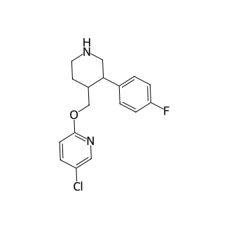 Fc1ccc(C2CNCCC2COc2ccc(Cl)cn2)cc1